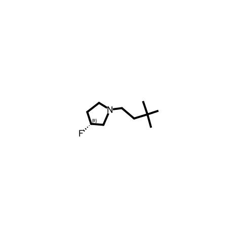 CC(C)(C)CCN1CC[C@@H](F)C1